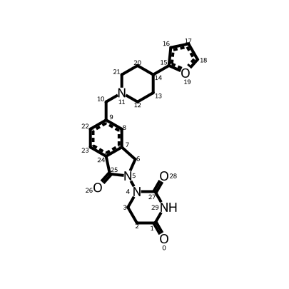 O=C1CCN(N2Cc3cc(CN4CCC(c5ccco5)CC4)ccc3C2=O)C(=O)N1